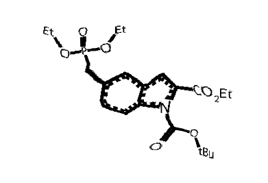 CCOC(=O)c1cc2cc(CP(=O)(OCC)OCC)ccc2n1C(=O)OC(C)(C)C